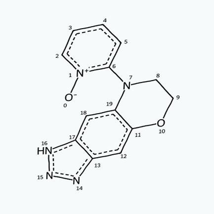 [O-][n+]1ccccc1N1CCOc2cc3nn[nH]c3cc21